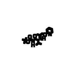 CC(COc1ccccn1)N[C@H](C(=O)NC(=O)OC(C)(C)C)C(C)C